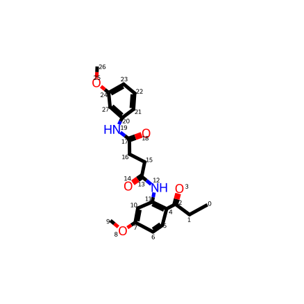 CCC(=O)c1ccc(OC)cc1NC(=O)CCC(=O)Nc1cccc(OC)c1